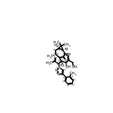 CC1=C[C@]23C(=O)[C@@H](C=C(CO)[C@@H](O)[C@]2(O)[C@H]1n1cc(-c2ccccc2C)nn1)[C@H]1[C@@H](C[C@H]3C)C1(C)C